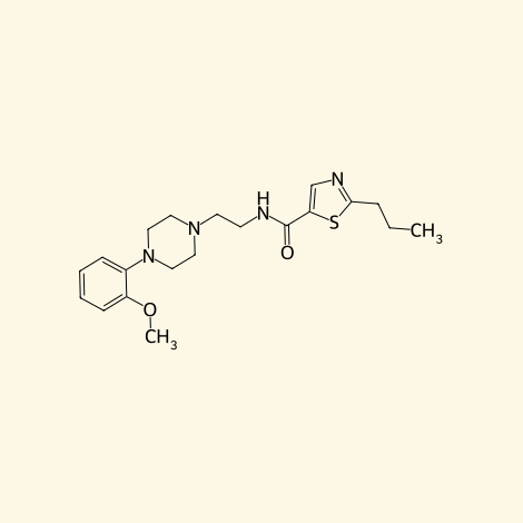 CCCc1ncc(C(=O)NCCN2CCN(c3ccccc3OC)CC2)s1